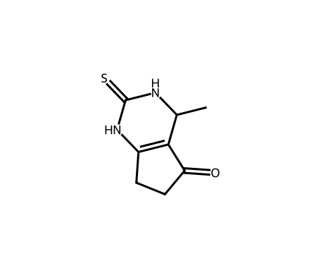 CC1NC(=S)NC2=C1C(=O)CC2